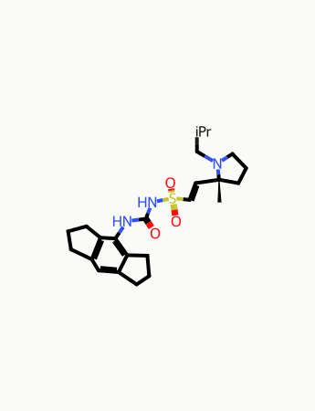 CC(C)CN1CCC[C@]1(C)/C=C/S(=O)(=O)NC(=O)Nc1c2c(cc3c1CCC3)CCC2